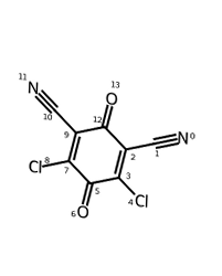 N#CC1=C(Cl)C(=O)C(Cl)=C(C#N)C1=O